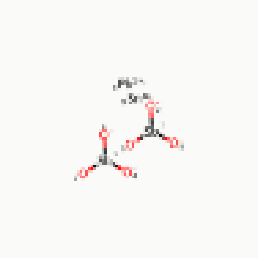 [O-][Sb]([O-])[O-].[O-][Sb]([O-])[O-].[Pb+2].[Sn+4]